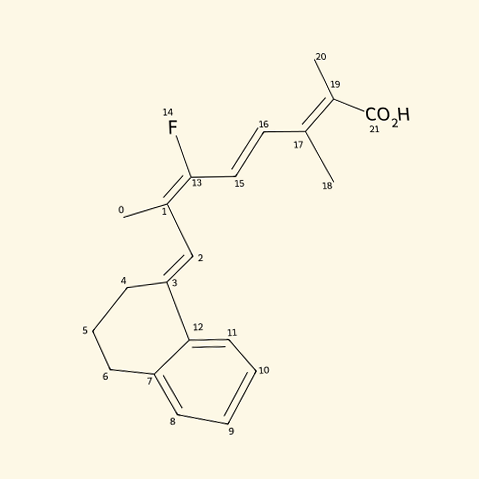 CC(/C=C1\CCCc2ccccc21)=C(F)/C=C/C(C)=C(\C)C(=O)O